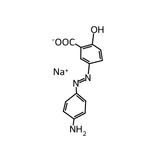 Nc1ccc(/N=N/c2ccc(O)c(C(=O)[O-])c2)cc1.[Na+]